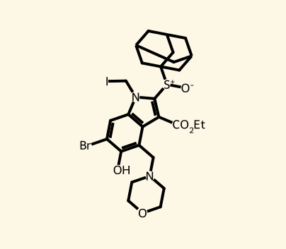 CCOC(=O)c1c([S+]([O-])C23CC4CC(CC(C4)C2)C3)n(CI)c2cc(Br)c(O)c(CN3CCOCC3)c12